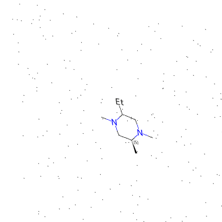 CCC1CN(C)[C@@H](C)CN1C